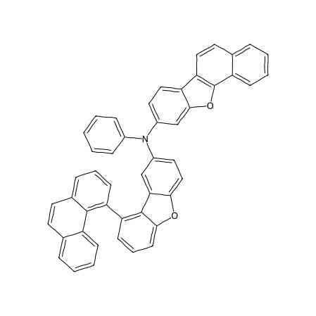 c1ccc(N(c2ccc3c(c2)oc2c4ccccc4ccc32)c2ccc3oc4cccc(-c5cccc6ccc7ccccc7c56)c4c3c2)cc1